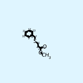 COC(=O)CCSCc1ccccc1